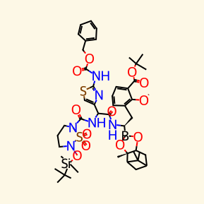 COc1c(C[C@H](NC(=O)C(NC(=O)N2CCCN(O[Si](C)(C)C(C)(C)C)S2(=O)=O)c2csc(NC(=O)OCc3ccccc3)n2)B2OC3CC4CC(C4(C)C)[C@]3(C)O2)cccc1C(=O)OC(C)(C)C